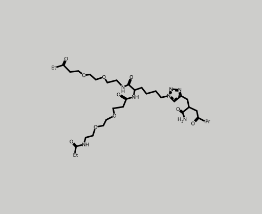 CCC(=O)CCOCCOCCNC(=O)C(CCCCn1cc(CC(CC(=O)C(C)C)C(N)=O)nn1)NC(=O)CCOCCOCCNC(=O)CC